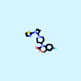 O=C1OCc2cc(F)ccc2N1C1CCN(C2C=CN2c2nccs2)CC1